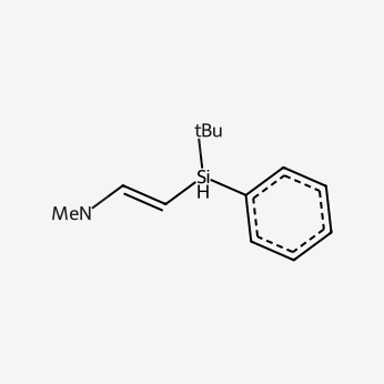 CNC=C[SiH](c1ccccc1)C(C)(C)C